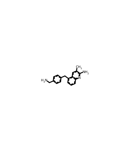 Cc1cc2c(Cc3ccc(CN)cc3)cccc2nc1N